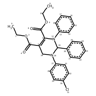 CCOC(=O)C1=C(C(=O)OCC)N(c2ccccc2)C(c2ccccc2)N(c2ccc(Cl)cc2)C1